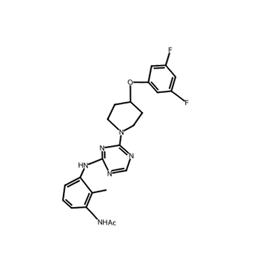 CC(=O)Nc1cccc(Nc2ncnc(N3CCC(Oc4cc(F)cc(F)c4)CC3)n2)c1C